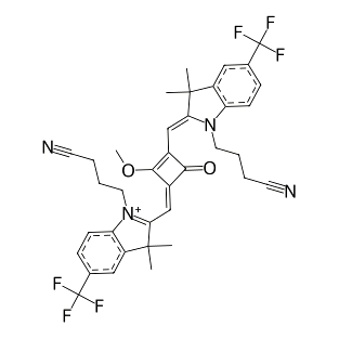 COC1=C(/C=C2\N(CCCC#N)c3ccc(C(F)(F)F)cc3C2(C)C)C(=O)/C1=C/C1=[N+](CCCC#N)c2ccc(C(F)(F)F)cc2C1(C)C